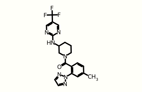 Cc1ccc(C(=O)N2CCCC(Nc3ncc(C(F)(F)F)cn3)C2)c(-n2nccn2)c1